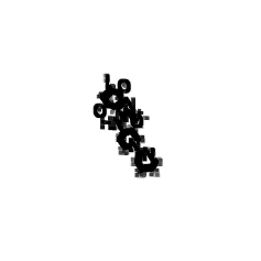 O=C1C(I)=CC(=O)c2c1n[n+]([O-])n2NC1CCN(c2ccccn2)CC1